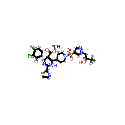 COC(=O)C1=C(C2CCN(S(=O)(=O)c3cnn(CC(O)C(F)(F)F)c3)CC2)NC(c2nccs2)=N[C@@H]1c1ccc(F)c(F)c1Cl